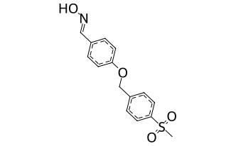 CS(=O)(=O)c1ccc(COc2ccc(/C=N/O)cc2)cc1